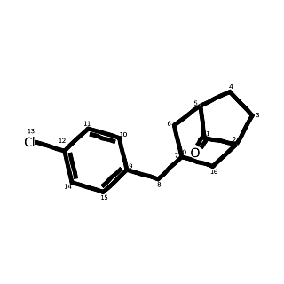 O=C1C2CCC1CC(Cc1ccc(Cl)cc1)C2